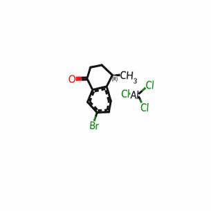 C[C@@H]1CCC(=O)c2cc(Br)ccc21.[Cl][Al]([Cl])[Cl]